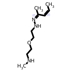 C/C=C\C(C)=N/NCCOCCNC